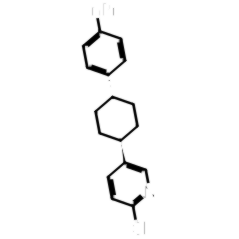 CCCc1ccc([C@H]2CC[C@H](c3ccc(Cl)nc3)CC2)cc1